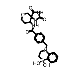 O=C1NC(=O)C2(COCCC2NC(=O)c2ccc(CN3CCS(O)(O)c4ccccc43)cc2)N1